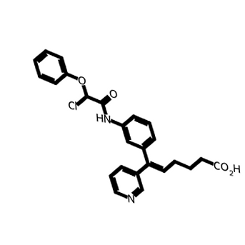 O=C(O)CCCC=C(c1cccnc1)c1cccc(NC(=O)C(Cl)Oc2ccccc2)c1